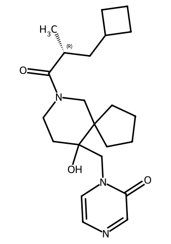 C[C@H](CC1CCC1)C(=O)N1CCC(O)(Cn2ccncc2=O)C2(CCCC2)C1